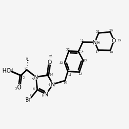 C[C@@H](C(=O)O)n1c(Br)nn(Cc2ccc(CN3CCOCC3)cc2)c1=O